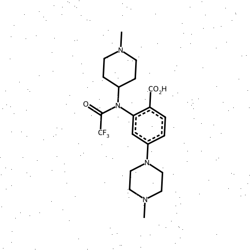 CN1CCC(N(C(=O)C(F)(F)F)c2cc(N3CCN(C)CC3)ccc2C(=O)O)CC1